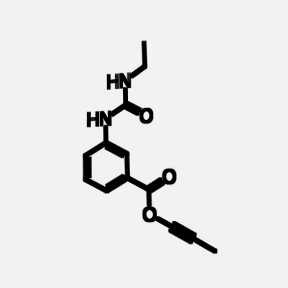 CC#COC(=O)c1cccc(NC(=O)NCC)c1